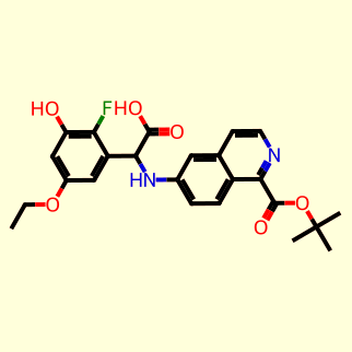 CCOc1cc(O)c(F)c(C(Nc2ccc3c(C(=O)OC(C)(C)C)nccc3c2)C(=O)O)c1